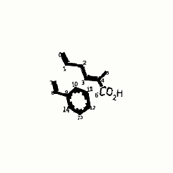 C=CCC=C(C)C(=O)O.C=Cc1ccccc1